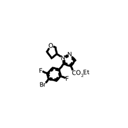 CCOC(=O)c1cnn(C2CCOC2)c1-c1cc(F)c(Br)cc1F